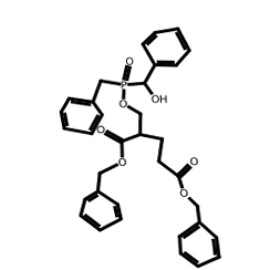 O=C(CCC(COP(=O)(Cc1ccccc1)C(O)c1ccccc1)C(=O)OCc1ccccc1)OCc1ccccc1